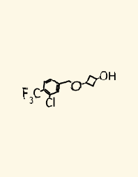 O[C@H]1C[C@@H](OCc2ccc(C(F)(F)F)c(Cl)c2)C1